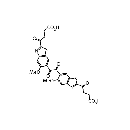 COc1cc2nc(C(=O)CCC(=O)O)sc2cc1C(=O)C(=O)c1cc2sc(C(=O)CCC(=O)O)nc2cc1OC